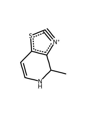 CC1NC=Cc2sc#[n+]c21